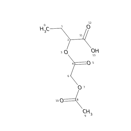 CCC(OC(=O)COC(C)=O)C(=O)O